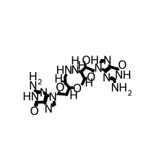 Nc1nc2c(ncn2[C@@H]2O[C@@H]3CO[C@H]4C[C@H](n5cnc6c(=O)[nH]c(N)nc65)O[C@@H]4CNN[C@H]3[C@H]2O)c(=O)[nH]1